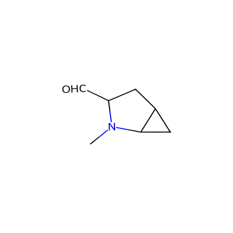 CN1C(C=O)CC2CC21